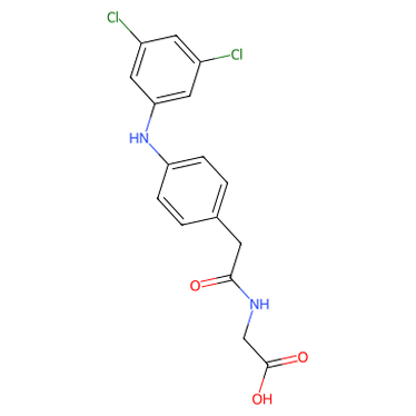 O=C(O)CNC(=O)Cc1ccc(Nc2cc(Cl)cc(Cl)c2)cc1